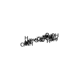 O=C(Cc1ccc(OCCCC2CCN(C3NCC(Cl)CN3)CC2)cc1F)N1CCC(O)(C(=O)NCC(CO)(CO)CO)C1